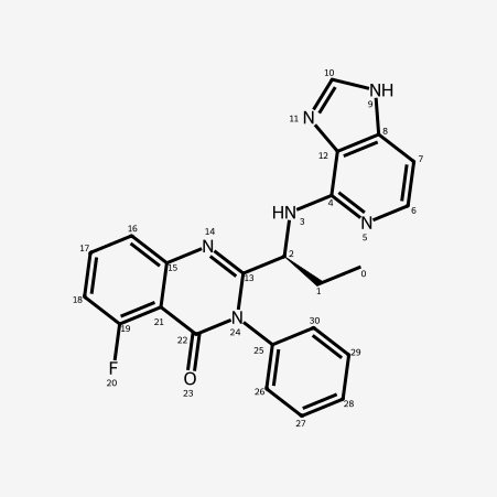 CC[C@H](Nc1nccc2[nH]cnc12)c1nc2cccc(F)c2c(=O)n1-c1ccccc1